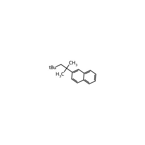 CC(C)(C)CC(C)(C)c1ccc2ccccc2c1